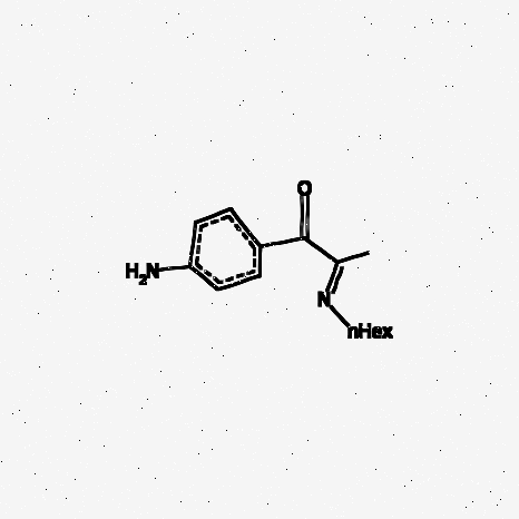 CCCCCCN=C(C)C(=O)c1ccc(N)cc1